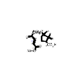 CC1(C(=O)O)CCC(C(=O)O)C1(C)C.COC(=O)/C=C/C(=O)OC